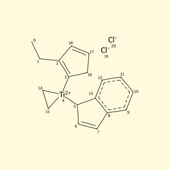 CCC1=[C]([Ti+2]2([CH]3C=Cc4ccccc43)[CH2][CH2]2)CC=C1.[Cl-].[Cl-]